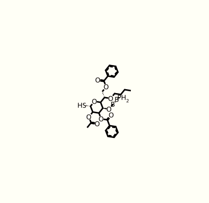 CCCCO[C@@H](COC(=O)c1ccccc1)C1O[C@@H](S)C(OC(C)=O)C(OC(=O)c2ccccc2)[C@@H]1OB=BP